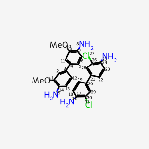 COc1cc(-c2ccc(N)c(OC)c2)ccc1N.Nc1ccc(-c2ccc(N)c(Cl)c2)cc1Cl